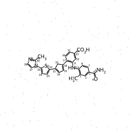 Cc1cc(C(N)=O)ccc1Nc1cc(C(=O)O)ccc1C1=CC=C(c2ccc(-n3ccnc3C)s2)C1